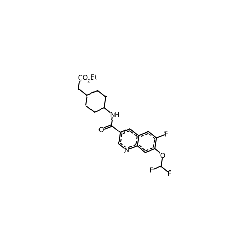 CCOC(=O)CC1CCC(NC(=O)c2cnc3cc(OC(F)F)c(F)cc3c2)CC1